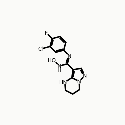 ONC(=Nc1ccc(F)c(Cl)c1)c1cnn2c1NCCC2